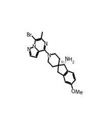 COc1ccc2c(c1)CC1(CCN(c3nc(C)c(Br)n4nccc34)CC1)[C@@H]2N